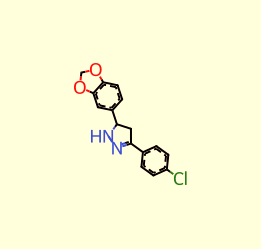 Clc1ccc(C2=NNC(c3ccc4c(c3)OCO4)C2)cc1